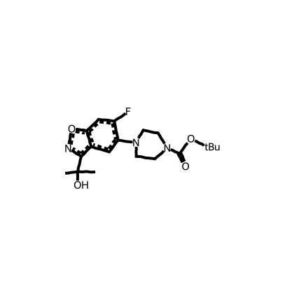 CC(C)(C)OC(=O)N1CCN(c2cc3c(C(C)(C)O)noc3cc2F)CC1